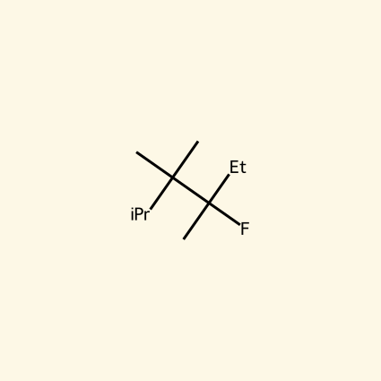 CCC(C)(F)C(C)(C)C(C)C